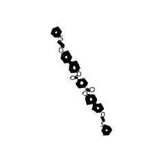 O=C(Oc1ccc(-c2ccc(OCCSc3ccccc3)cc2)cc1)[C@H]1CC[C@H](C(=O)Oc2ccc(-c3ccc(OCCSc4ccccc4)cc3)cc2)CC1